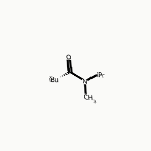 CC[C@@H](C)C(=O)N(C)C(C)C